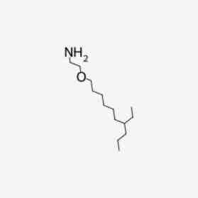 CCCC(CC)CCCCCCOCCN